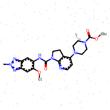 CCOc1cc2nn(C)nc2cc1NC(=O)N1CCc2c(N3CCN(C(=O)OC(C)(C)C)[C@@H](C)C3)ccnc21